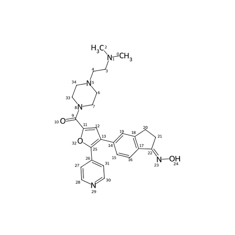 CN(C)CCN1CCN(C(=O)c2cc(-c3ccc4c(c3)CC/C4=N\O)c(-c3ccncc3)o2)CC1